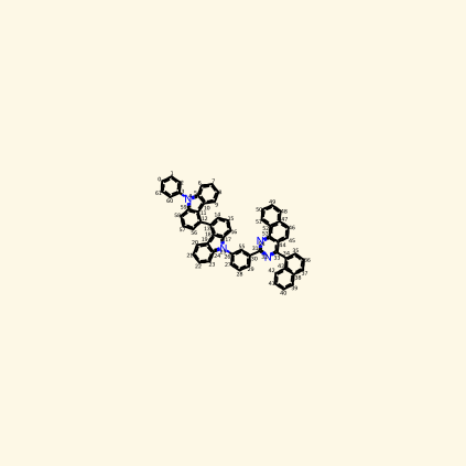 c1ccc(-n2c3ccccc3c3c(-c4cccc5c4c4ccccc4n5-c4cccc(-c5nc(-c6cccc7ccccc67)c6ccc7ccccc7c6n5)c4)cccc32)cc1